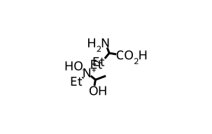 CCC(N)C(=O)O.CC[N+](O)(CC)C(C)O